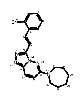 Brc1ccccc1C=Cc1nnc2ccc(N3CCCCCC3)nn12